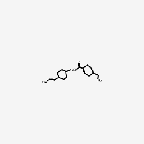 CC(C)(C)CC1CCC(C(=O)OCC2CCC(COC(C)(C)C)CC2)CC1